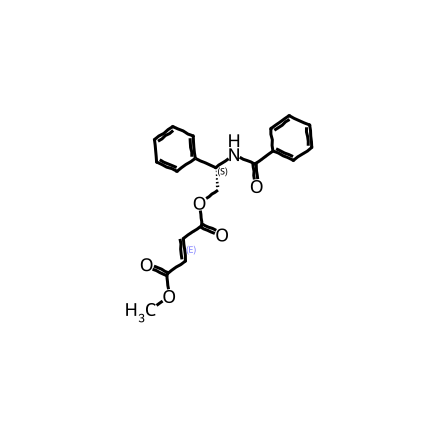 COC(=O)/C=C/C(=O)OC[C@@H](NC(=O)c1ccccc1)c1ccccc1